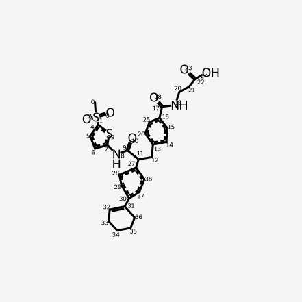 CS(=O)(=O)c1ccc(NC(=O)C(Cc2ccc(C(=O)NCCC(=O)O)cc2)c2ccc(C3=CCCCC3)cc2)s1